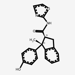 C[C@]1(c2ccc(O)cc2)c2ccccc2C[C@@H]1C(=O)Nc1nccs1